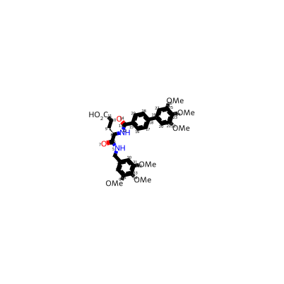 COc1cc(CNC(=O)[C@H](CCC(=O)O)NC(=O)c2ccc(-c3cc(OC)c(OC)c(OC)c3)cc2)cc(OC)c1OC